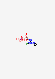 O=P(O)(O)CP(=O)(O)CC[C@H]1O[C@@H](n2cnc3c(NCc4ccccc4)nc(Cl)nc32)[C@@H](O)C1O